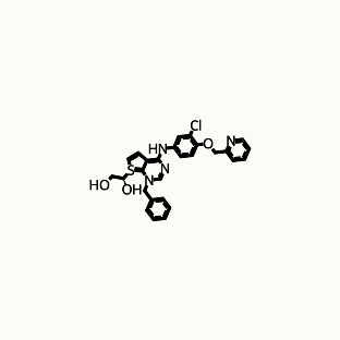 OC[C@@H](O)S1=C2C(=C(Nc3ccc(OCc4ccccn4)c(Cl)c3)N=CN2Cc2ccccc2)C=C1